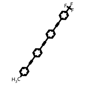 Cc1ccc(C#Cc2ccc(C#Cc3ccc(C#Cc4ccc(C(F)(F)F)cc4)cc3)cc2)cc1